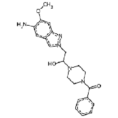 COc1cc2nn(CC(O)N3CCN(C(=O)c4ccccc4)CC3)cc2cc1N